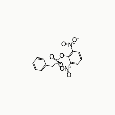 O=[N+]([O-])c1cccc([N+](=O)[O-])c1OS(=O)(=O)Cc1ccccc1